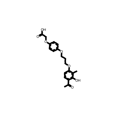 CC(=O)c1ccc(OCCCOc2ccc(OCC(=O)O)cc2)c(C)c1O